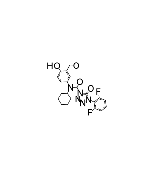 O=Cc1cc(N(C(=O)n2nnn(-c3c(F)cccc3F)c2=O)C2CCCCC2)ccc1O